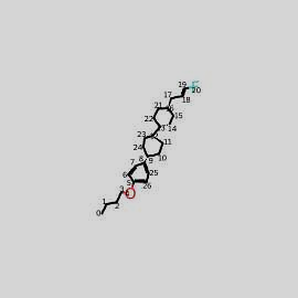 CCCCOc1ccc([C@H]2CC[C@H]([C@H]3CC[C@H](CC=CF)CC3)CC2)cc1